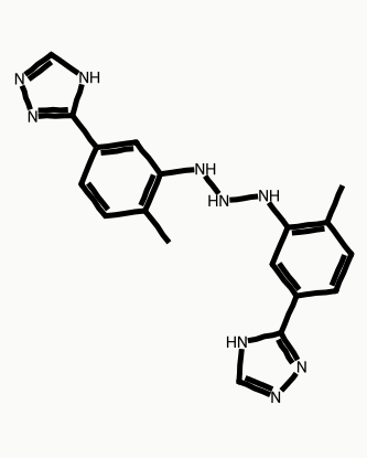 Cc1ccc(-c2nnc[nH]2)cc1NNNc1cc(-c2nnc[nH]2)ccc1C